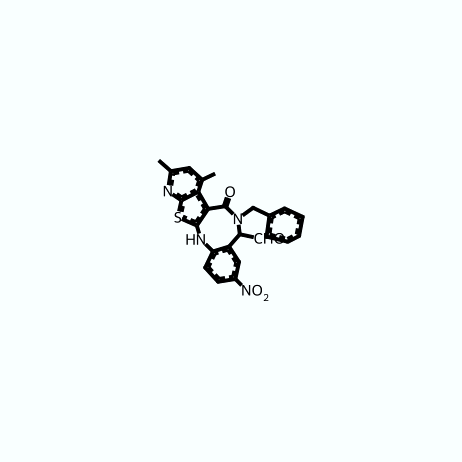 Cc1cc(C)c2c3c(sc2n1)Nc1ccc([N+](=O)[O-])cc1C(C=O)N(Cc1ccccc1)C3=O